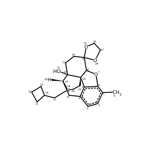 Cc1ccc2c3c1OC1C4(CCC5(O)[C@@H](C2)N(CC2CCC2)CC[C@]315)OCCO4